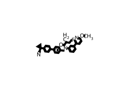 C=C(CCF)C(=O)N(CC12CCC(c3ccc(C4(C#N)CC4)cc3)(CC1)OC2)c1cccc(-c2ccc(OC)nc2)c1